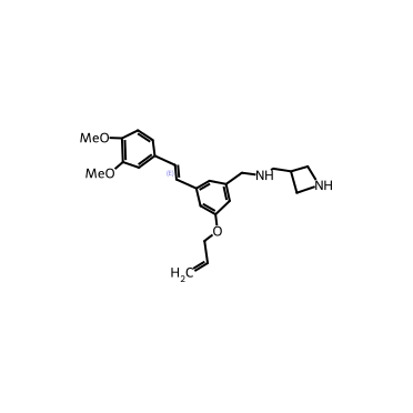 C=CCOc1cc(/C=C/c2ccc(OC)c(OC)c2)cc(CNCC2CNC2)c1